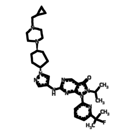 CC(C)n1c(=O)c2cnc(Nc3cnn([C@H]4CC[C@H](N5CCN(CC6CC6)CC5)CC4)c3)nc2n1-c1cccc(C(C)(C)F)n1